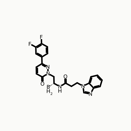 B[C@H](Cn1nc(-c2ccc(F)c(F)c2)ccc1=O)NC(=O)CCn1cnc2ccccc21